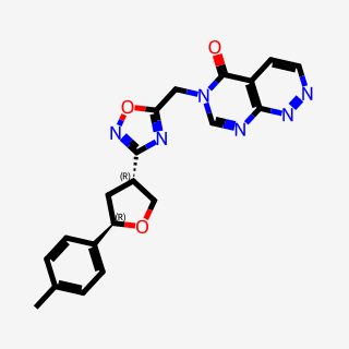 Cc1ccc([C@H]2C[C@H](c3noc(Cn4cnc5nnccc5c4=O)n3)CO2)cc1